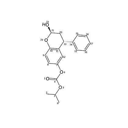 CC(C)OC(=O)Oc1ccc2c(c1)[C@@H](c1ccccc1)C[C@H](O)O2